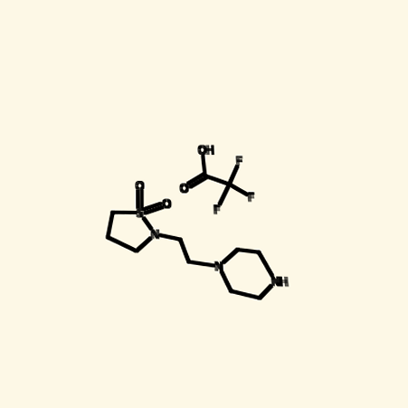 O=C(O)C(F)(F)F.O=S1(=O)CCCN1CCN1CCNCC1